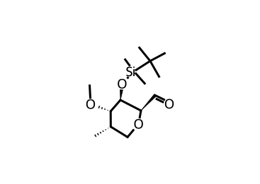 CO[C@@H]1[C@@H](O[Si](C)(C)C(C)(C)C)[C@@H](C=O)OC[C@@H]1C